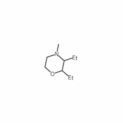 CCC1OCCN(C)C1CC